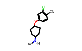 [2H]N(C(C)=O)C1CCC(Oc2ccc(C#N)c(Cl)c2)CC1